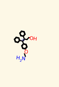 NCCOc1ccc(/C(=C(\CCO)c2ccccc2)c2ccccc2)cc1